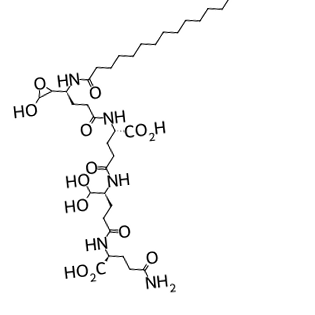 NC(=O)CC[C@H](NC(=O)CC[C@H](NC(=O)CC[C@H](NC(=O)CC[C@H](NC(=O)CCCCCCCCCCCCCCCCC(=O)O)C1OC1O)C(=O)O)C(O)O)C(=O)O